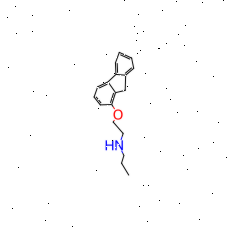 CCCNCCOc1cccc2c1Cc1ccccc1-2